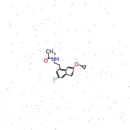 CC(=O)NCCc1cc(F)cc2ccc(OC3CC3)cc12